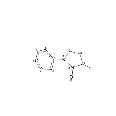 CC1CCN(c2ccccc2)[N+]1=O